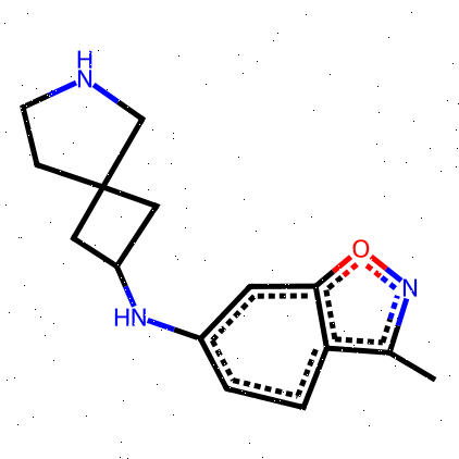 Cc1noc2cc(NC3CC4(CCNC4)C3)ccc12